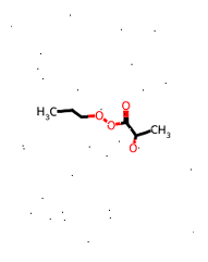 CCCOOC(=O)C(C)[O]